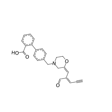 C#C/C=C(C=O)\C=C1/CN(Cc2ccc(-c3ccccc3C(=O)O)cc2)CCO1